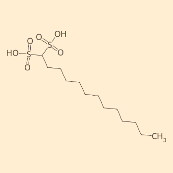 CCCCCCCCCCCCC(S(=O)(=O)O)S(=O)(=O)O